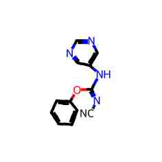 N#CN=C(Nc1cncnc1)Oc1ccccc1